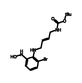 CC(C)(C)OC(=O)NC/C=C/CNc1c(Br)cccc1NO